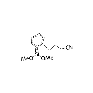 CO[SiH](OC)c1ccccc1CCCC#N